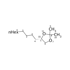 CCCCCCCCCC[C@H]1COC(C)(C)O1